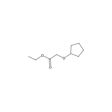 CCOC(=O)COC1CCCC1